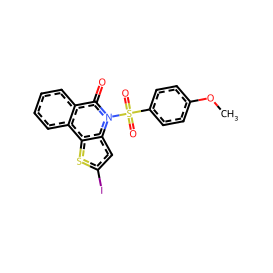 COc1ccc(S(=O)(=O)n2c(=O)c3ccccc3c3sc(I)cc32)cc1